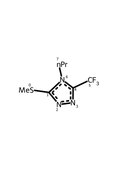 [CH2]Sc1nnc(C(F)(F)F)n1CCC